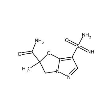 CC1(C(N)=O)Cn2ncc(S(=N)(N)=O)c2O1